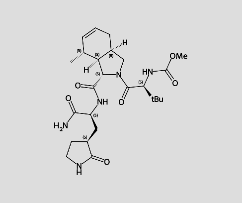 COC(=O)N[C@H](C(=O)N1C[C@@H]2CC=C[C@@H](C)[C@@H]2[C@H]1C(=O)N[C@@H](C[C@@H]1CCNC1=O)C(N)=O)C(C)(C)C